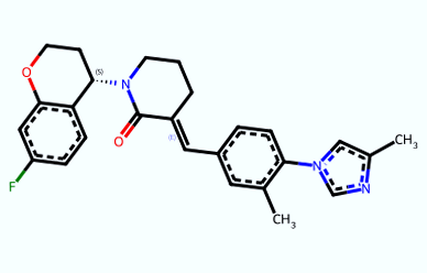 Cc1cn(-c2ccc(/C=C3\CCCN([C@H]4CCOc5cc(F)ccc54)C3=O)cc2C)cn1